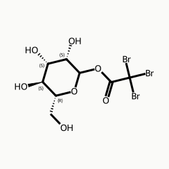 O=C(OC1O[C@H](CO)[C@@H](O)[C@H](O)[C@@H]1O)C(Br)(Br)Br